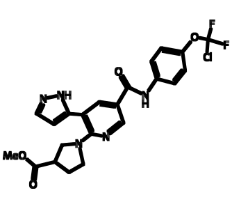 COC(=O)C1CCN(c2ncc(C(=O)Nc3ccc(OC(F)(F)Cl)cc3)cc2-c2ccn[nH]2)C1